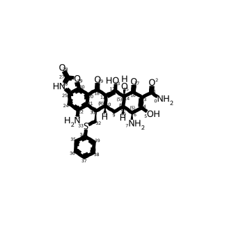 NC(=O)C1=C(O)[C@@H](N)[C@@H]2C[C@H]3C(=C(O)[C@]2(O)C1=O)C(=O)c1c(c(N)cc2[nH]c(=O)oc12)[C@@H]3CSc1ccccc1